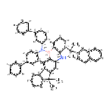 CC(C)(c1ccc2ccccc2c1)c1cccc2c1Nc1cc3c(c4c1B2N(c1cccc(-c2ccccc2)c1)c1ccc(-c2ccccc2)cc1-4)-c1ccccc1C3(C)C